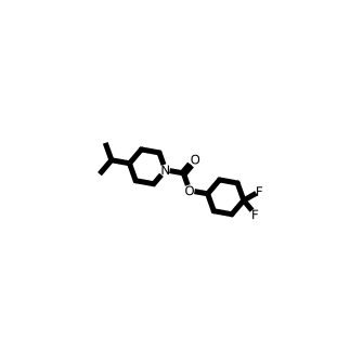 CC(C)C1CCN(C(=O)OC2CCC(F)(F)CC2)CC1